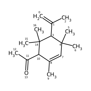 C=C(C)C1C(C)(C)C=C(C)C(C(C)=O)C1(C)C